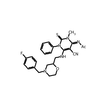 CC(=O)N=c1c(C#N)c(NCC2CN(Cc3ccc(F)cc3)CCO2)n(-c2ccccc2)c(=S)n1C